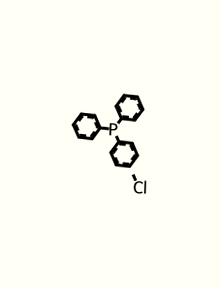 CCl.c1ccc(P(c2ccccc2)c2ccccc2)cc1